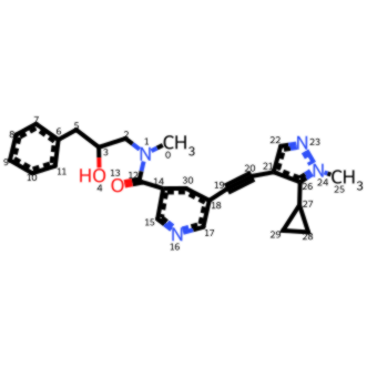 CN(CC(O)Cc1ccccc1)C(=O)c1cncc(C#Cc2cnn(C)c2C2CC2)c1